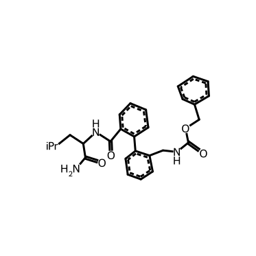 CC(C)CC(NC(=O)c1ccccc1-c1ccccc1CNC(=O)OCc1ccccc1)C(N)=O